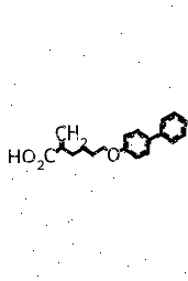 C=C(CCCCOc1ccc(-c2ccccc2)cc1)C(=O)O